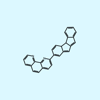 C1=CC2C(=CC3=Cc4ccccc4C32)C=C1c1ccc2ccc3cccnc3c2n1